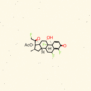 CC(=O)O[C@@]1(C(=O)CF)[C@H](C)C[C@H]2[C@@H]3C[C@H](F)C4=C(F)C(=O)C=C[C@]4(C)[C@@]3(F)[C@@H](O)C[C@@]21C